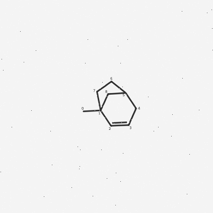 CC12C=CCC(CC1)C2